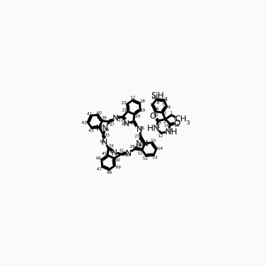 CCC1(c2ccccc2)C(=O)NCNC1=O.[SiH4].c1ccc2c(c1)-c1nc-2nc2[nH]c(nc3nc(nc4[nH]c(n1)c1ccccc41)-c1ccccc1-3)c1ccccc21